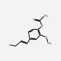 COc1cc(C=CCCl)ccc1OC(C)=O